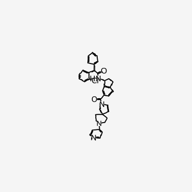 O=C(NC1CCc2ccc(C(=O)N3CCC4(CCN(c5ccncc5)CC4)C3)cc21)C(c1ccccc1)c1ccccc1Cl